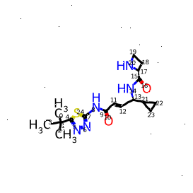 CC(C)(C)c1nnc(NC(=O)C=C[C@@H](NC(=O)[C@@H]2CCN2)C2CC2)s1